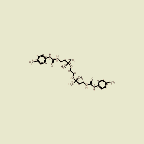 Cc1ccc(NC(=O)NCCC(C)(C)OCCOC(C)(C)CCNC(=O)Nc2ccc(C)cc2)cc1